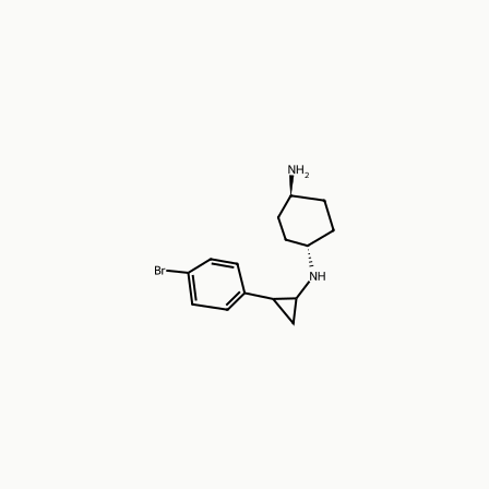 N[C@H]1CC[C@H](NC2CC2c2ccc(Br)cc2)CC1